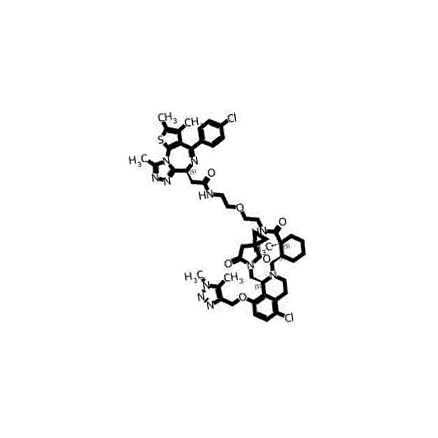 Cc1sc2c(c1C)C(c1ccc(Cl)cc1)=N[C@@H](CC(=O)NCCOCCNC(=O)[C@@]1(C)CCCC[C@H]1C(=O)N1CCc3c(Cl)ccc(OCc4nnn(C)c4C)c3[C@H]1CN1CC3(CC3)CC1=O)c1nnc(C)n1-2